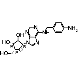 Nc1ccc(CNc2ncnc3c2ncn3[C@@H]2O[C@H](CO)[C@H](O)C2O)cc1